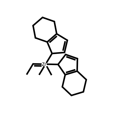 C[CH]=[Zr]([CH3])([CH3])([CH]1C=CC2=C1CCCC2)[CH]1C=CC2=C1CCCC2